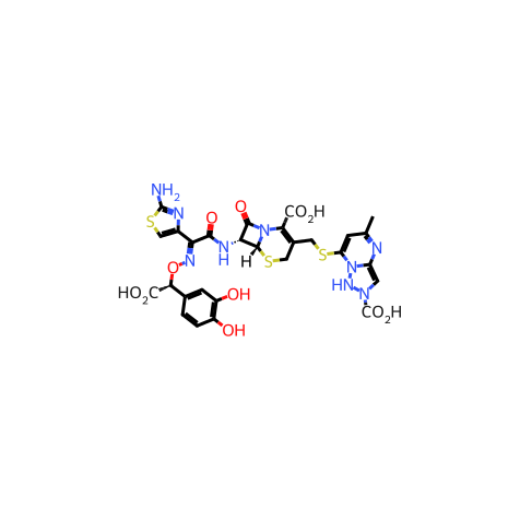 CC1=NC2=CN(C(=O)O)NN2C(SCC2=C(C(=O)O)N3C(=O)[C@@H](NC(=O)C(=NO[C@H](C(=O)O)c4ccc(O)c(O)c4)c4csc(N)n4)[C@H]3SC2)=C1